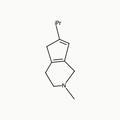 CC(C)C1=CC2=C(CCN(C)C2)C1